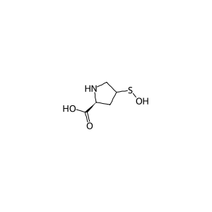 O=C(O)[C@@H]1CC(SO)CN1